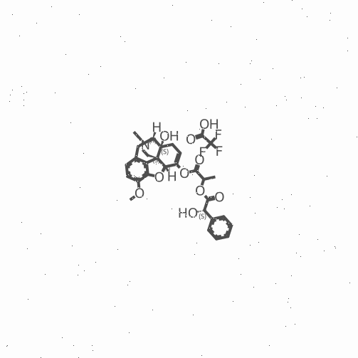 COc1ccc2c3c1O[C@H]1C(OC(=O)C(C)OC(=O)[C@@H](O)c4ccccc4)=CC[C@@]4(O)[C@@H](C2)N(C)CC[C@]314.O=C(O)C(F)(F)F